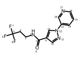 O=C(NCCC(F)(F)F)c1cnn(-c2cccnc2)c1